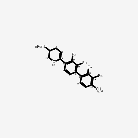 CCCCCC1CC=C(c2ccc(-c3ccc(C)c(F)c3F)c(F)c2F)OC1